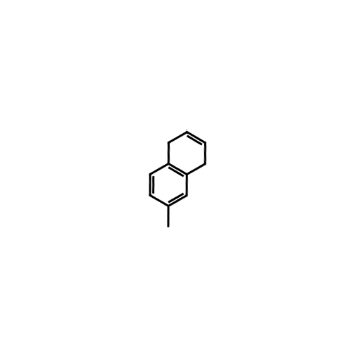 Cc1ccc2c(c1)CC=[C]C2